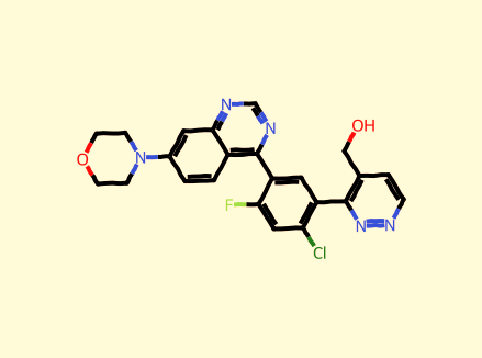 OCc1ccnnc1-c1cc(-c2ncnc3cc(N4CCOCC4)ccc23)c(F)cc1Cl